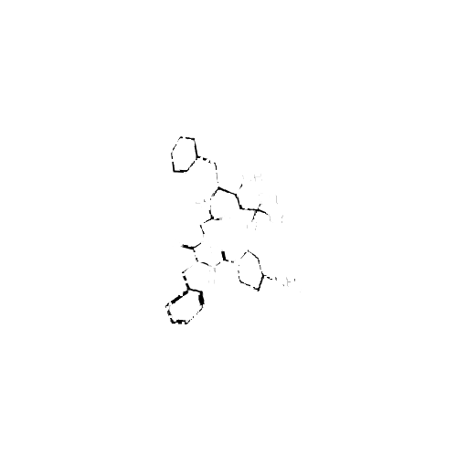 CC(C)(O)C[C@H](O)[C@H](CC1CCCCC1)NC(=O)CNC(=O)[C@H](Cc1ccccc1)NC(=O)N1CCC(N)CC1